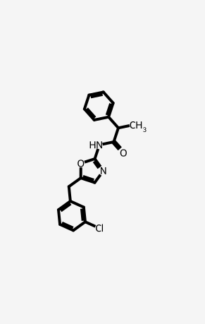 CC(C(=O)Nc1ncc(Cc2cccc(Cl)c2)o1)c1ccccc1